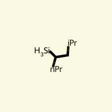 CCCC([SiH3])CC(C)C